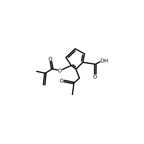 C=C(C)C(=O)Oc1cccc(C(=O)O)c1CC(C)=O